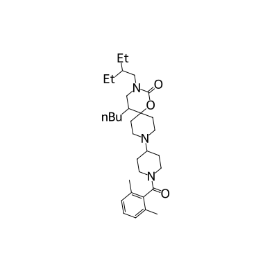 CCCCC1CN(CC(CC)CC)C(=O)OC12CCN(C1CCN(C(=O)c3c(C)cccc3C)CC1)CC2